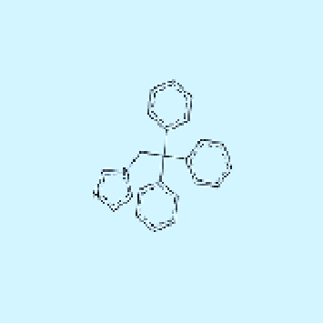 c1ccc(C(Cn2ccnc2)(c2ccccc2)c2ccccc2)cc1